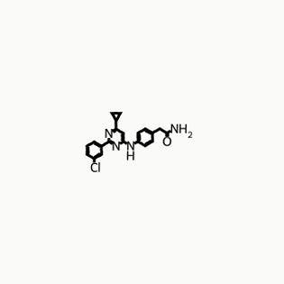 NC(=O)Cc1ccc(Nc2cc(C3CC3)nc(-c3cccc(Cl)c3)n2)cc1